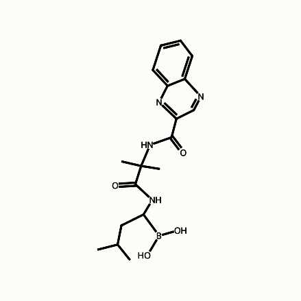 CC(C)CC(NC(=O)C(C)(C)NC(=O)c1cnc2ccccc2n1)B(O)O